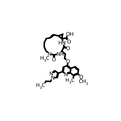 CCCn1cc(-c2cc(OCCC3NC(=O)N(C)CCCC/C=C/C4CC4(C(=O)O)NC3=O)c3ccc(OC)c(C)c3n2)cn1